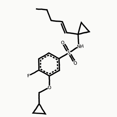 CCC/C=C/C1(NS(=O)(=O)c2ccc(F)c(OCC3CC3)c2)CC1